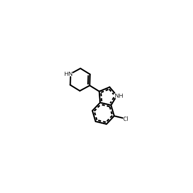 Clc1cccc2c(C3=CCNCC3)c[nH]c12